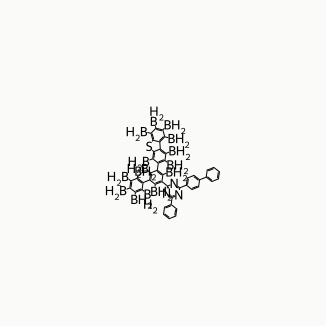 Bc1c(B)c(B)c(-c2c(B)c(-c3nc(-c4ccccc4)nc(-c4ccc(-c5ccccc5)cc4)n3)c(B)c(-c3c(B)c(B)c4c(sc5c(B)c(B)c(B)c(B)c54)c3B)c2B)c(B)c1B